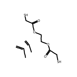 C=CC.C=CC.O=C(CS)OCCOC(=O)CS